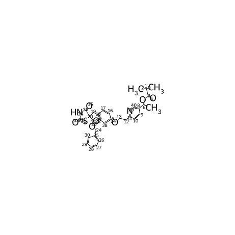 CC(C)C(=O)OC(C)c1ccc(CCOc2ccc(CC3(C(=O)OCc4ccccc4)SC(=O)NC3=O)cc2)nc1